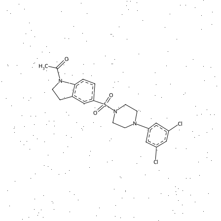 CC(=O)N1CCc2cc(S(=O)(=O)N3CCN(c4cc(Cl)cc(Cl)c4)CC3)ccc21